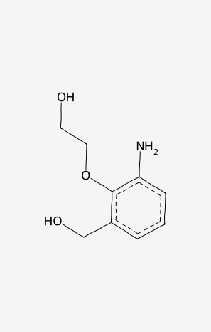 Nc1cccc(CO)c1OCCO